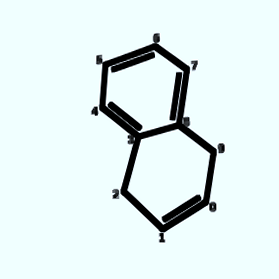 C1=CCc2ccccc2C1